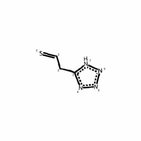 S=CCc1nnn[nH]1